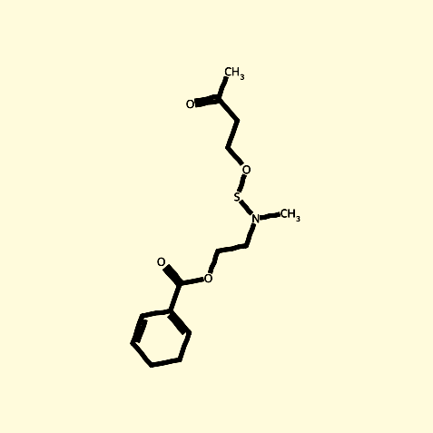 CC(=O)CCOSN(C)CCOC(=O)C1=CCCC=C1